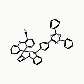 N#Cc1cccc2c1Sc1ccccc1C21c2ccccc2-c2c1cc(-c1ccc(-c3nc(-c4ccccc4)nc(-c4ccccc4)n3)cc1)c1ccccc21